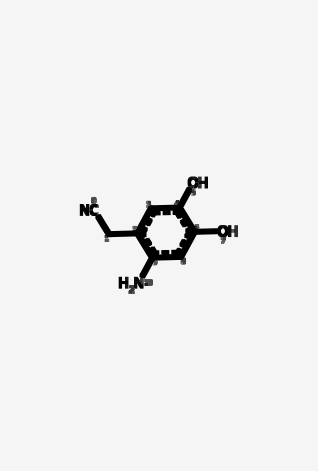 N#CCc1cc(O)c(O)cc1N